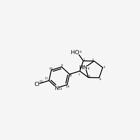 OC1C2CCC(N2)C1c1ccc(Cl)nc1